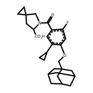 O=C(O)C1CC2(CC2)CN1C(=O)c1cc(C2CC2)c(OCC23CC4CC(CC(C4)C2)C3)cc1F